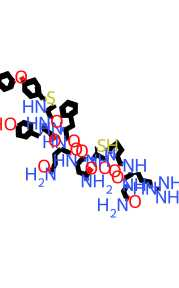 N=C(N)NCCC[C@H](NC(=O)C1CCCN1C(=O)[C@H](CS)NC(=O)C(CC(N)=O)NC(=O)C(CCC(N)=O)NC(=O)C(Cc1ccccc1)NC(=O)[C@H](Cc1ccc(O)cc1)NC(=O)C1CSC(c2ccc(Oc3ccccc3)cc2)N1)C(=O)NCC(N)=O